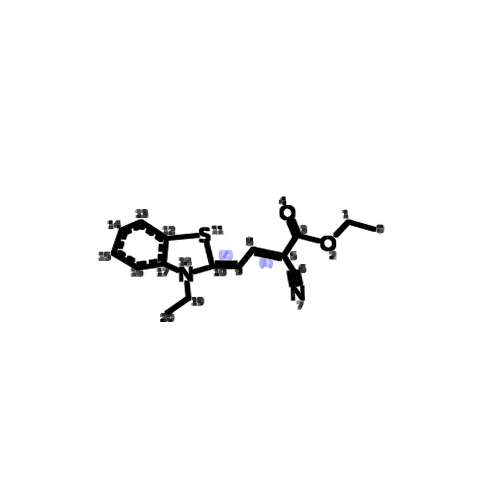 CCOC(=O)/C(C#N)=C/C=C1\Sc2ccccc2N1CC